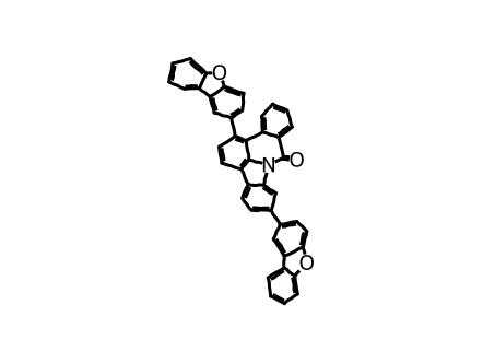 O=c1c2ccccc2c2c(-c3ccc4oc5ccccc5c4c3)ccc3c4ccc(-c5ccc6oc7ccccc7c6c5)cc4n1c32